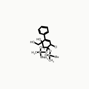 CC(C)(C)[Si](C)(C)OC1(O[Si](C)(C)C(C)(C)C)CC(O)(CO)C(c2ccccc2)=CC1Cl